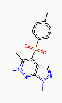 Cc1ccc(S(=O)(=O)c2c(C)[n+](C)nc3c2cnn3C)cc1